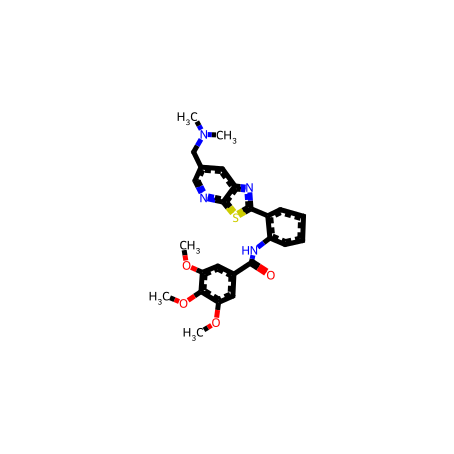 COc1cc(C(=O)Nc2ccccc2-c2nc3cc(CN(C)C)cnc3s2)cc(OC)c1OC